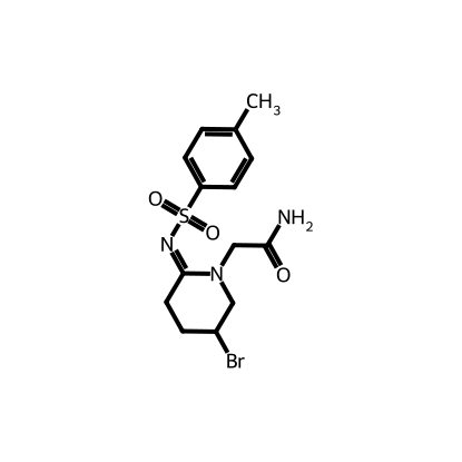 Cc1ccc(S(=O)(=O)/N=C2/CCC(Br)CN2CC(N)=O)cc1